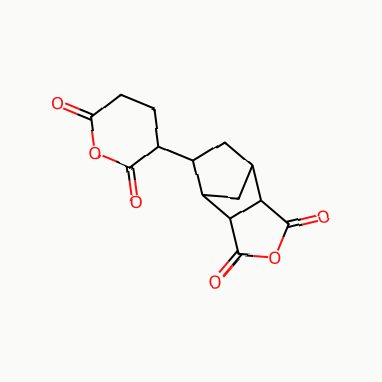 O=C1CCC(C2CC3CC2C2C(=O)OC(=O)C32)C(=O)O1